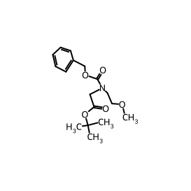 COCCN(CC(=O)OC(C)(C)C)C(=O)OCc1ccccc1